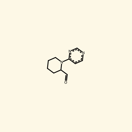 O=CC1CCCCN1c1ccncn1